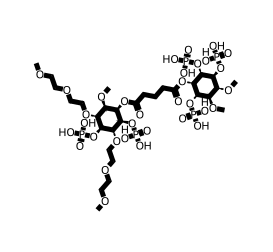 COCCOCCO[C@@H]1[C@@H](OC)[C@@H](OC(=O)CCCC(=O)O[C@H]2[C@@H](OP(=O)(O)O)[C@H](OC)[C@@H](OC)[C@H](OP(=O)(O)O)[C@H]2OP(=O)(O)O)[C@@H](OP(=O)(O)O)[C@H](OCCOCCOC)[C@H]1OP(=O)(O)O